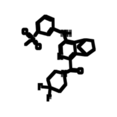 CS(=O)(=O)c1cccc(Nc2cnc(C(=O)N3CCC(F)(F)CC3)c3c2C2CCC3C2)c1